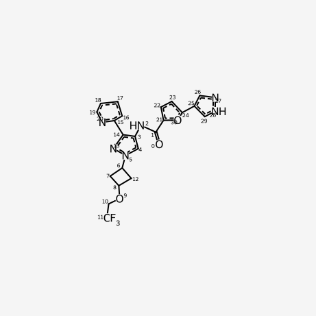 O=C(Nc1cn(C2CC(OCC(F)(F)F)C2)nc1-c1ccccn1)c1ccc(-c2cn[nH]c2)o1